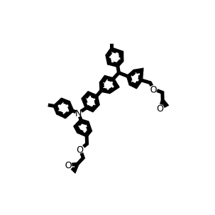 Cc1ccc(C(c2ccc(COCC3CO3)cc2)c2ccc(-c3ccc(N(c4ccc(C)cc4)c4ccc(COCC5CO5)cc4)cc3)cc2)cc1